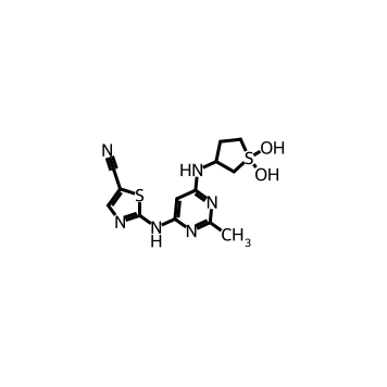 Cc1nc(Nc2ncc(C#N)s2)cc(NC2CCS(O)(O)C2)n1